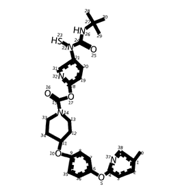 Cc1ccc(Oc2ccc(OC3CCN(C(=O)Oc4ccc(N(S)C(=O)NC(C)(C)C)cn4)CC3)cc2)nc1